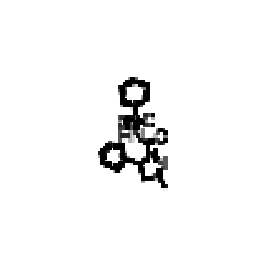 CC1=NN(C(=O)NS(=O)(=O)c2ccccc2)C(c2ccccc2)C1